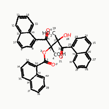 O=C(OC(C(=O)O)(C(=O)c1cccc2ccccc12)C(O)(C(=O)O)C(=O)c1cccc2ccccc12)c1cccc2ccccc12